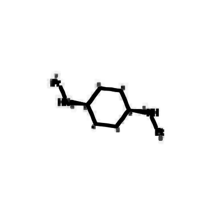 CCN[C@H]1CC[C@@H](NC(C)C)CC1